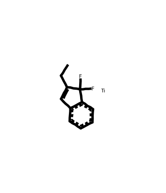 CCC1=Cc2ccccc2C1(F)F.[Ti]